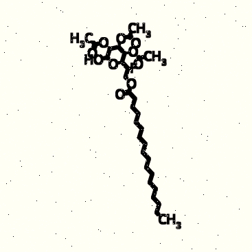 CCCCCCCCCCCCCCCCCC(=O)OC[C@H](F)[C@H]1OC(O)[C@@H](OC(C)=O)[C@@H](OC(C)=O)[C@@H]1OC(C)=O